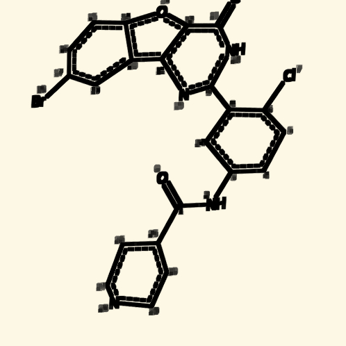 O=C(Nc1ccc(Cl)c(-c2nc3c(oc4ccc(Br)cc43)c(=O)[nH]2)c1)c1ccncc1